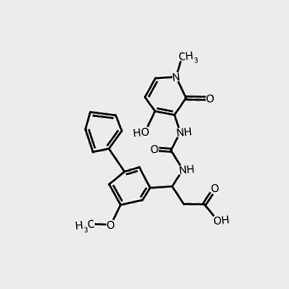 COc1cc(-c2ccccc2)cc(C(CC(=O)O)NC(=O)Nc2c(O)ccn(C)c2=O)c1